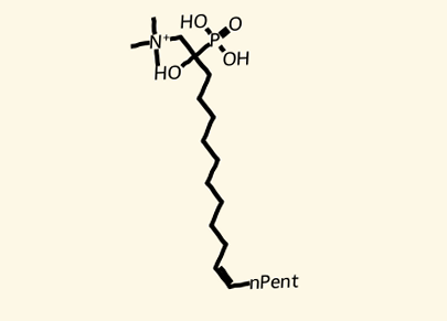 CCCCC/C=C\CCCCCCCCCC(O)(C[N+](C)(C)C)P(=O)(O)O